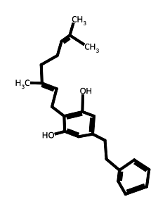 CC(C)=CCC/C(C)=C/Cc1c(O)cc(CCc2ccccc2)cc1O